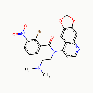 CN(C)CCN(C(=O)c1cccc([N+](=O)[O-])c1Br)c1ccnc2cc3c(cc12)OCO3